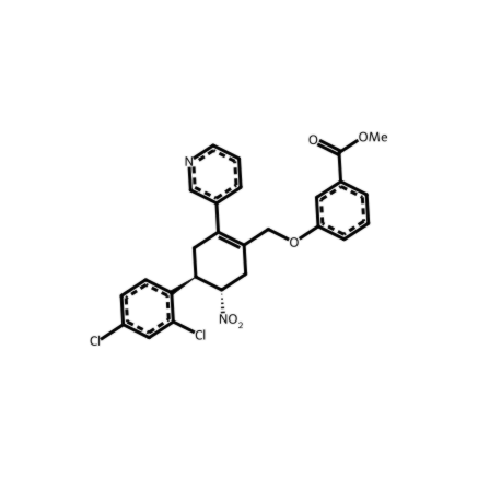 COC(=O)c1cccc(OCC2=C(c3cccnc3)C[C@H](c3ccc(Cl)cc3Cl)[C@@H]([N+](=O)[O-])C2)c1